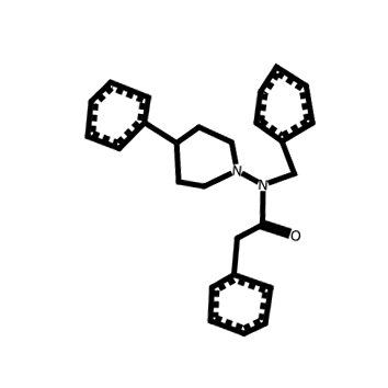 O=C(Cc1ccccc1)N(Cc1ccccc1)N1CCC(c2ccccc2)CC1